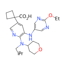 CCOc1ncc(Nc2cc(C3(C(=O)O)CCC3)cnc2N(CC(C)C)C2CCOCC2)cn1